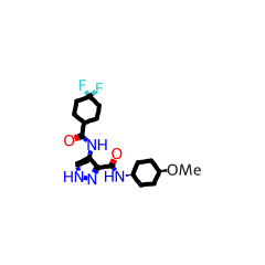 CO[C@H]1CC[C@H](NC(=O)c2n[nH]cc2NC(=O)C2CCC(F)(F)CC2)CC1